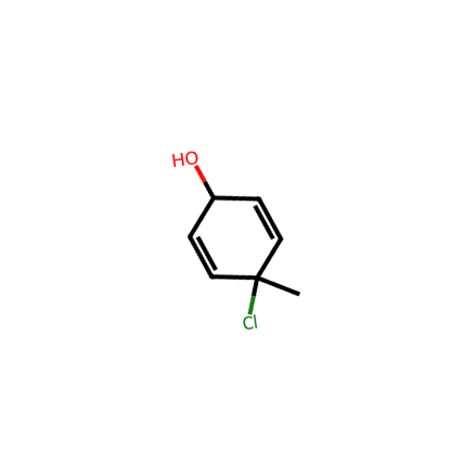 CC1(Cl)C=CC(O)C=C1